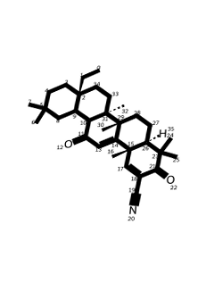 CC[C@]12CCC(C)(C)CC1C1C(=O)C=C3[C@@]4(C)C=C(C#N)C(=O)C(C)(C)[C@@H]4CC[C@@]3(C)[C@]1(C)CC2